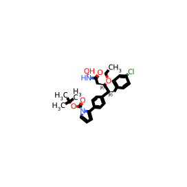 CCO[C@H](CC(=O)NO)[C@H](Cc1ccc(Cl)cc1)c1ccc(-c2cccn2C(=O)OC(C)(C)C)cc1